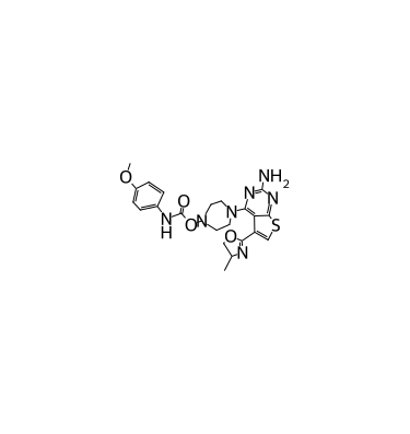 COc1ccc(NC(=O)ON2CCN(c3nc(N)nc4scc(C5=NC(C)CO5)c34)CC2)cc1